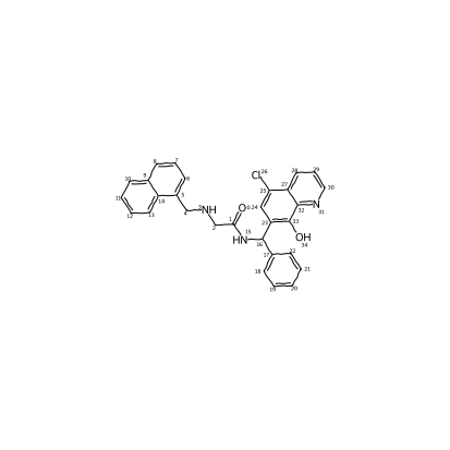 O=C(CNCc1cccc2ccccc12)NC(c1ccccc1)c1cc(Cl)c2cccnc2c1O